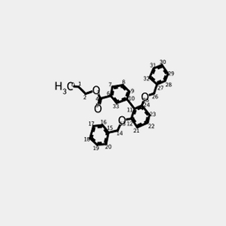 CCCOC(=O)c1cccc(-c2c(OCc3ccccc3)cccc2OCc2ccccc2)c1